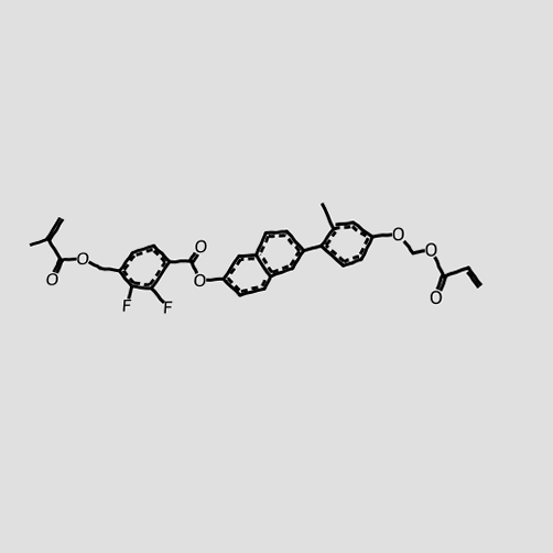 C=CC(=O)OCOc1ccc(-c2ccc3cc(OC(=O)c4ccc(COC(=O)C(=C)C)c(F)c4F)ccc3c2)c(C)c1